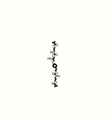 C=C(C)C(=O)OCCCNC(=O)OCCc1ccc(OCC(O)COC(=O)NCCCOC(=O)C(=C)C)cc1